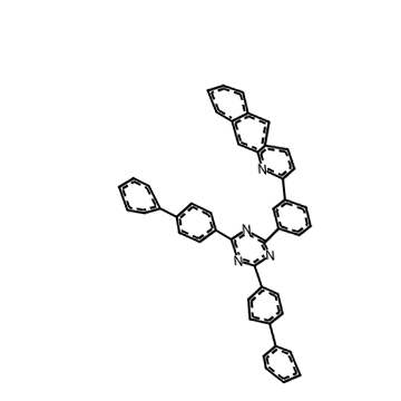 c1ccc(-c2ccc(-c3nc(-c4ccc(-c5ccccc5)cc4)nc(-c4cccc(-c5ccc6cc7ccccc7cc6n5)c4)n3)cc2)cc1